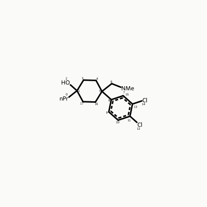 CCCC1(O)CCC(CNC)(c2ccc(Cl)c(Cl)c2)CC1